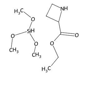 CCOC(=O)C1CCN1.CO[SiH](OC)OC